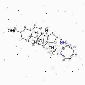 CC([C@H]1CC[C@H]2[C@@H]3CCC4CC(C=O)CC[C@]4(C)[C@H]3CC[C@]12C)C1(N)C=CC=CC=N1